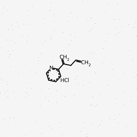 C=CCC(=C)c1ccccn1.Cl